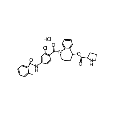 Cc1ccccc1C(=O)Nc1ccc(C(=O)N2CCCC(OC(=O)[C@H]3CCCN3)c3ccccc32)c(Cl)c1.Cl